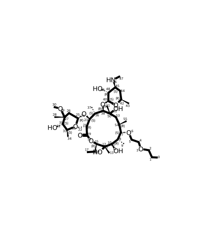 CCCOCCO[C@@H]1[C@H](C)[C@@H](O)[C@](C)(O)[C@@H](CC)OC(=O)[C@H](C)[C@@H](O[C@H]2C[C@@](C)(OC)[C@@H](O)[C@H](C)O2)[C@H](C)[C@@H](O[C@@H]2O[C@H](C)C[C@H](NC)[C@H]2O)[C@](C)(O)C[C@H]1C